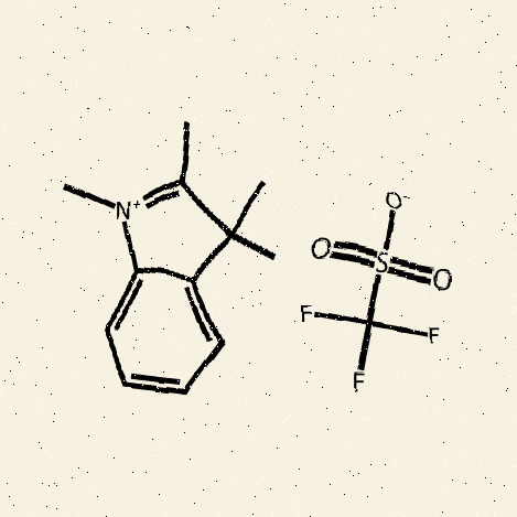 CC1=[N+](C)c2ccccc2C1(C)C.O=S(=O)([O-])C(F)(F)F